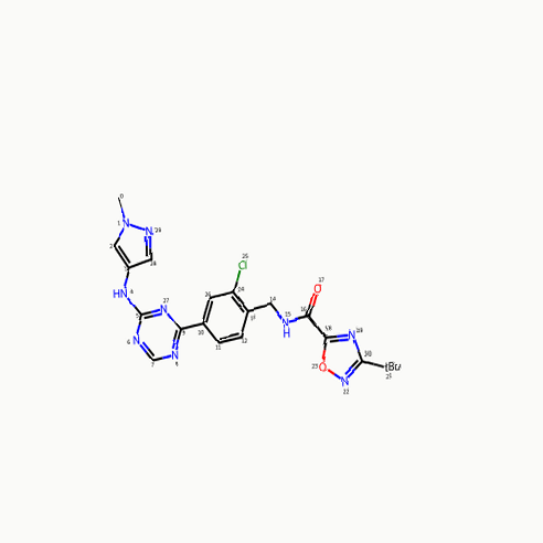 Cn1cc(Nc2ncnc(-c3ccc(CNC(=O)c4nc(C(C)(C)C)no4)c(Cl)c3)n2)cn1